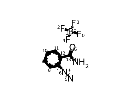 F[B-](F)(F)F.N#[N+]c1ccccc1C(N)=O